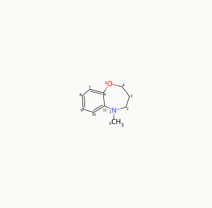 CN1CCCOc2cc[c]cc21